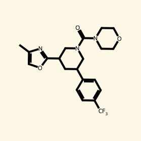 Cc1coc(C2CC(c3ccc(C(F)(F)F)cc3)CN(C(=O)N3CCOCC3)C2)n1